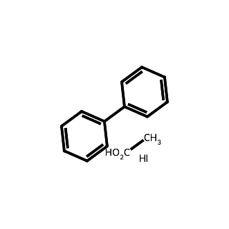 CC(=O)O.I.c1ccc(-c2ccccc2)cc1